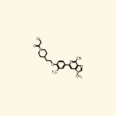 Cn1cnc2c(C#N)nc(-c3ccc(OCCC4CCN(C(=O)CCl)CC4)c(C(F)(F)F)c3)cc21